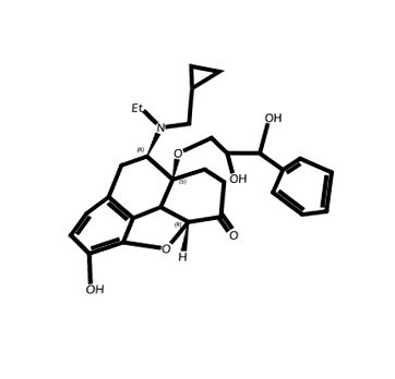 CCN(CC1CC1)[C@@H]1Cc2ccc(O)c3c2C2[C@@H](O3)C(=O)CC[C@]21OCC(O)C(O)c1ccccc1